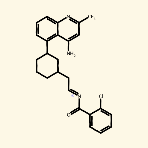 Nc1cc(C(F)(F)F)nc2cccc(C3CCCC(C/C=N/C(=O)c4ccccc4Cl)C3)c12